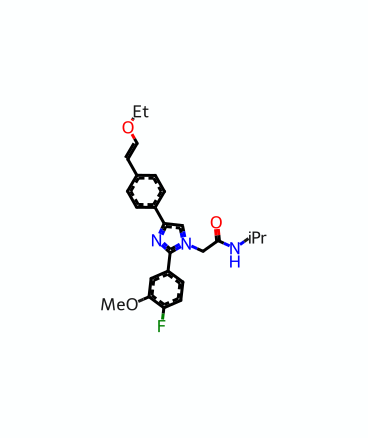 CCOC=Cc1ccc(-c2cn(CC(=O)NC(C)C)c(-c3ccc(F)c(OC)c3)n2)cc1